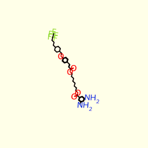 Nc1cc(N)cc(C(=O)OCCCCCCCCOC(=O)C=Cc2ccc(OCC3CCC(CCCC(F)(F)C(F)(F)F)CC3)cc2)c1